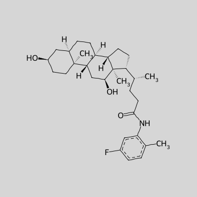 Cc1ccc(F)cc1NC(=O)CC[C@@H](C)[C@H]1CC[C@H]2[C@@H]3CC[C@@H]4C[C@H](O)CC[C@]4(C)[C@H]3C[C@H](O)[C@]12C